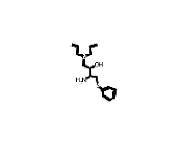 C=CCN(CC=C)CC(O)C(N)CSc1ccccc1